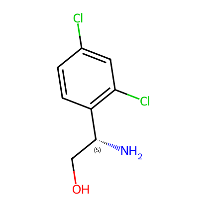 N[C@H](CO)c1ccc(Cl)cc1Cl